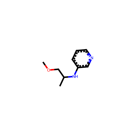 COCC(C)Nc1[c]ccnc1